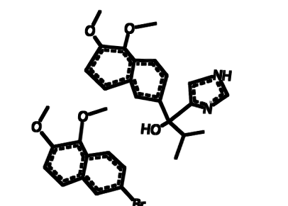 COc1ccc2cc(Br)ccc2c1OC.COc1ccc2cc(C(O)(c3c[nH]cn3)C(C)C)ccc2c1OC